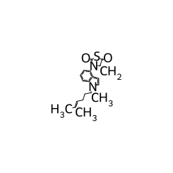 C=C1C(=O)SC(=O)N1c1cccc2c1ccn2C(C)CCC=C(C)C